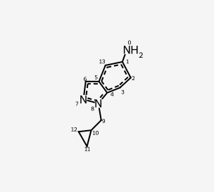 Nc1ccc2c(cnn2CC2CC2)c1